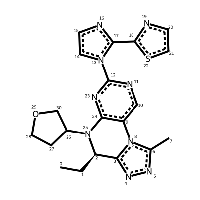 CC[C@@H]1c2nnc(C)n2-c2cnc(-n3ccnc3-c3nccs3)nc2N1C1CCOC1